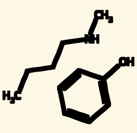 CCCCNC.Oc1ccccc1